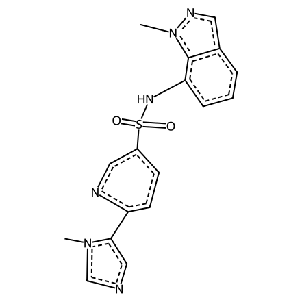 Cn1cncc1-c1ccc(S(=O)(=O)Nc2cccc3cnn(C)c23)cn1